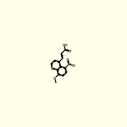 COc1ccc([N+](=O)[O-])c2c(/C=C/C(=O)O)ccnc12